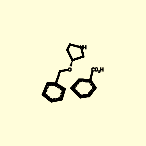 O=C(O)c1ccccc1.c1ccc(CO[C@@H]2CCNC2)cc1